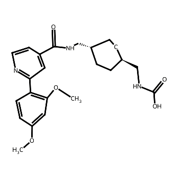 COc1ccc(-c2cc(C(=O)NC[C@H]3CC[C@H](CNC(=O)O)CC3)ccn2)c(OC)c1